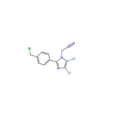 N#CCn1c(-c2ccc(CBr)cc2)nc(Cl)c1Cl